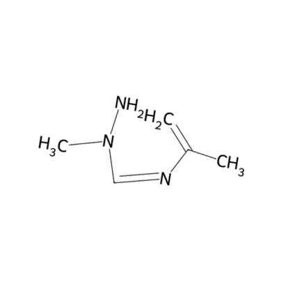 C=C(C)/N=C\N(C)N